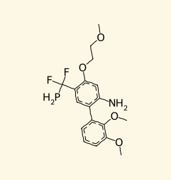 COCCOc1cc(N)c(-c2cccc(OC)c2OC)cc1C(F)(F)P